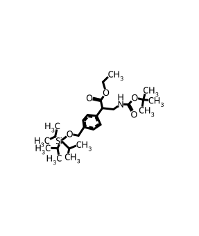 CCOC(=O)C(CNC(=O)OC(C)(C)C)c1ccc(CO[Si](C(C)C)(C(C)C)C(C)C)cc1